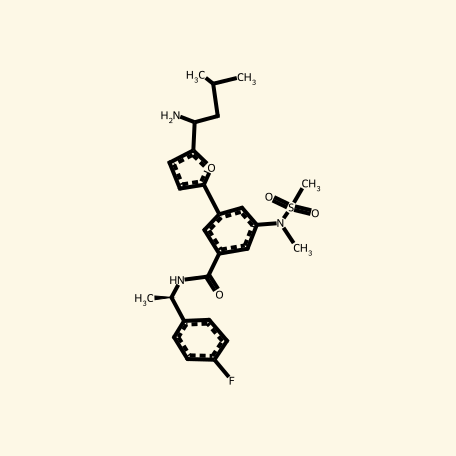 CC(C)CC(N)c1ccc(-c2cc(C(=O)N[C@H](C)c3ccc(F)cc3)cc(N(C)S(C)(=O)=O)c2)o1